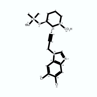 CC(C)(C)[Si](C)(C)O[C@H]1CCCN(C(=O)O)[C@@H]1C#CCn1cnc2cc(Cl)c(Cl)cc21